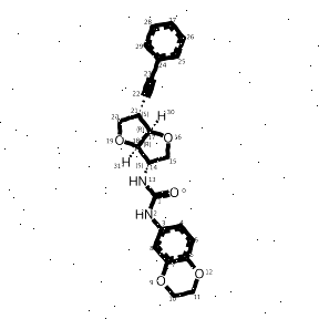 O=C(Nc1ccc2c(c1)OCCO2)N[C@H]1CO[C@H]2[C@@H]1OC[C@@H]2C#Cc1ccccc1